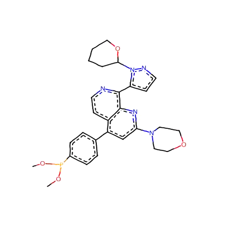 COP(OC)c1ccc(-c2cc(N3CCOCC3)nc3c(-c4ccnn4C4CCCCO4)nccc23)cc1